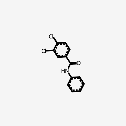 O=C(Nc1cc[c]cc1)c1ccc(Cl)c(Cl)c1